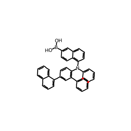 OB(O)c1ccc2c(N(c3ccccc3)c3ccc(-c4cccc5ccccc45)cc3-c3ccccc3)cccc2c1